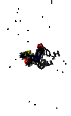 CC1(C)Cc2c3c(cc(-c4cccs4)c2O1)-c1cc(=O)c(C(=O)O)cn1C(C(C)(C)C)C3